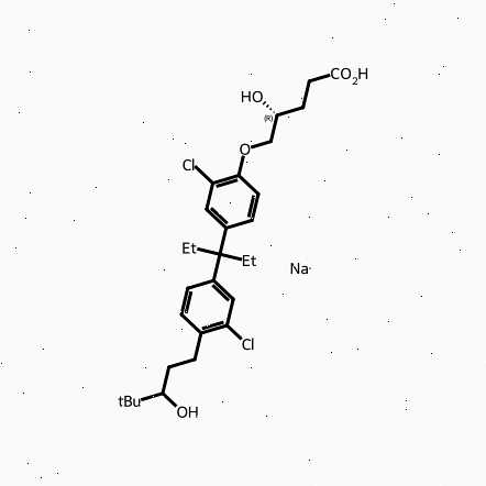 CCC(CC)(c1ccc(CCC(O)C(C)(C)C)c(Cl)c1)c1ccc(OC[C@H](O)CCC(=O)O)c(Cl)c1.[Na]